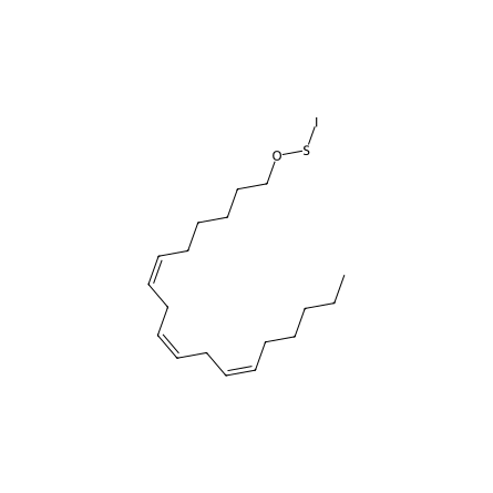 CCCCC/C=C\C/C=C\C/C=C\CCCCCOSI